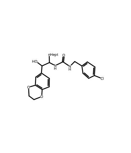 CCCCCCCC(NC(=O)NCc1ccc(Cl)cc1)C(O)c1ccc2c(c1)OCCO2